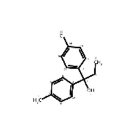 CCC(O)(c1ccc(C)cc1)c1ccc(Cl)cc1